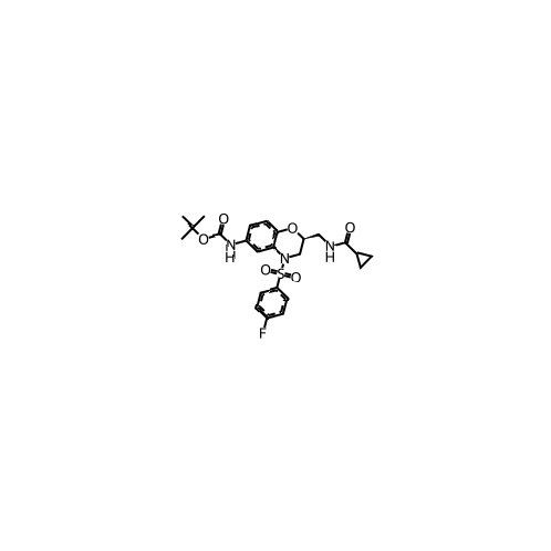 CC(C)(C)OC(=O)Nc1ccc2c(c1)N(S(=O)(=O)c1ccc(F)cc1)C[C@H](CNC(=O)C1CC1)O2